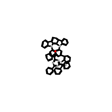 c1ccc(-c2cc(-c3cccc4nc(-c5ccccc5)oc34)cc(-n3c4ccccc4c4ccc5c6ccccc6n(-c6ccc(-c7nc(-c8ccccc8)nc(-c8ccccc8)n7)cc6)c5c43)c2)cc1